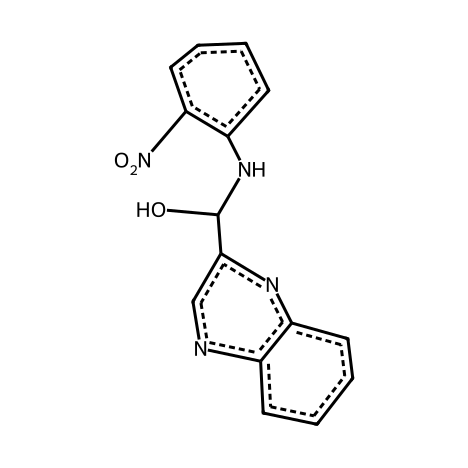 O=[N+]([O-])c1ccccc1NC(O)c1cnc2ccccc2n1